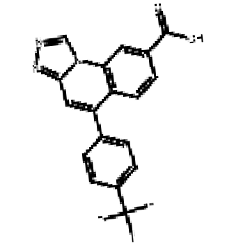 O=C(O)c1ccc2c(-c3ccc(C(F)(F)F)cc3)cc3nncn3c2c1